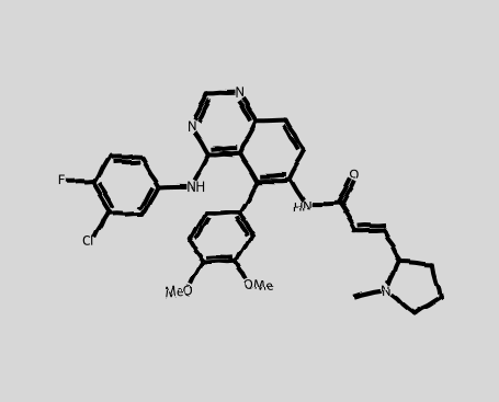 COc1ccc(-c2c(NC(=O)C=CC3CCCN3C)ccc3ncnc(Nc4ccc(F)c(Cl)c4)c23)cc1OC